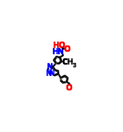 Cc1cc(-c2ncnn3cc(-c4ccc(C=O)cc4)cc23)ccc1CNC(=O)O